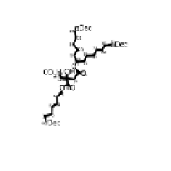 CCCCCCCCCCCCCCCCOC(=O)C(O)(CC(=O)O)CC(=O)OC(CCCCCCCCCCCCCCC)CCCCCCCCCCCCCCCC